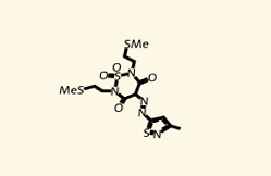 CSCCN1C(=O)C(N=Nc2cc(C)ns2)C(=O)N(CCSC)S1(=O)=O